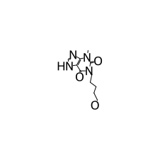 Cn1c(=O)n(CCCCC=O)c(=O)c2[nH]cnc21